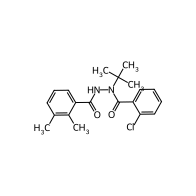 Cc1cccc(C(=O)NN(C(=O)c2ccccc2Cl)C(C)(C)C)c1C